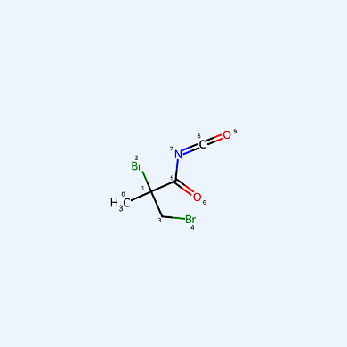 CC(Br)(CBr)C(=O)N=C=O